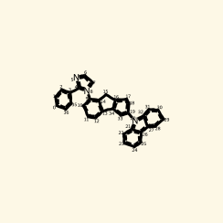 c1ccc(-c2nccn2-c2cccc3c2Cc2ccc(-n4c5ccccc5c5ccccc54)cc2-3)cc1